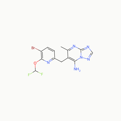 Cc1nc2ncnn2c(N)c1Cc1ccc(Br)c(OC(F)F)n1